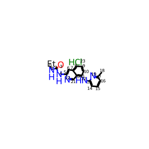 CCNC(=O)Nc1cc2cccc(Nc3cccc(C)n3)c2cn1.Cl